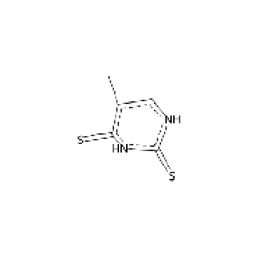 Cc1c[nH]c(=S)[nH]c1=S